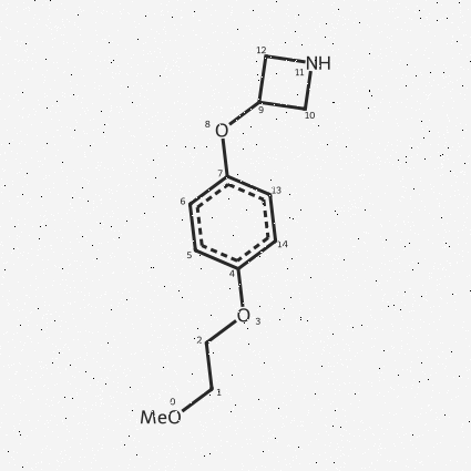 COCCOc1ccc(OC2CNC2)cc1